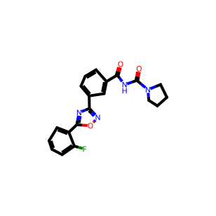 O=C(NC(=O)N1CCCC1)c1cccc(-c2noc(-c3ccccc3F)n2)c1